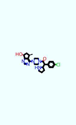 C[C@@H]1C[C@H](O)c2ncnc(N3CCN(C(=O)C(c4ccc(Cl)cc4)C4CCCN4)CC3)c21